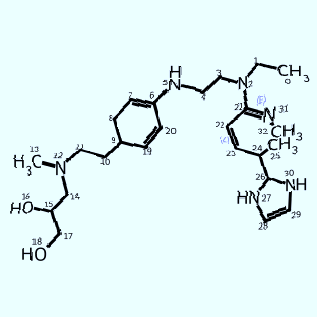 CCN(CCNC1=CCC(CCN(C)CC(O)CO)C=C1)C(/C=C\C(C)C1NC=CN1)=N/C